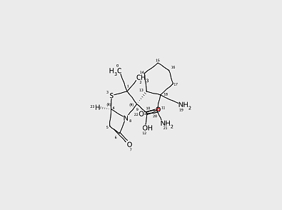 CC1(C)S[C@@H]2CC(=O)N2[C@@]1(C(=O)O)C1CCCCC1(N)C(N)=O